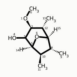 CO[C@@H]1C(O)[C@H]2O[C@H]([C@H](C)[C@H]2C)[C@H]1C